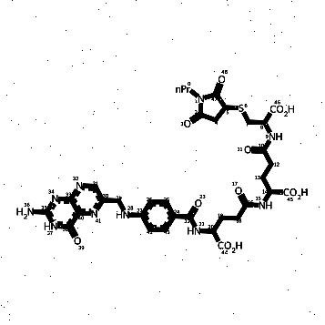 CCCN1C(=O)CC(SCC(NC(=O)CCC(NC(=O)CCC(NC(=O)c2ccc(NCc3cnc4nc(N)[nH]c(=O)c4n3)cc2)C(=O)O)C(=O)O)C(=O)O)C1=O